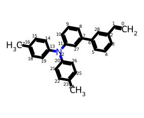 C=Cc1cccc(-c2cccc(N(c3ccc(C)cc3)c3ccc(C)cc3)c2)c1